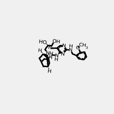 COc1ccccc1CNc1ncc(C#N)c(NC[C@@]23CC4C[C@H](C2)[C@@H](NC[C@H](O)CO)[C@@H](C4)C3)n1